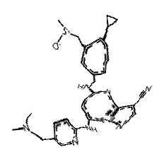 CN(C)Cc1ccc(Nc2cc(Nc3ccc(C4CC4)c(C[S+](C)[O-])c3)nc3c(C#N)cnn23)nc1